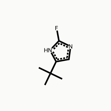 CC(C)(C)c1cnc(F)[nH]1